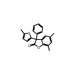 Cc1cc(C)c2c(c1)C(c1ccccc1)(c1ccc(C)s1)C(=O)O2